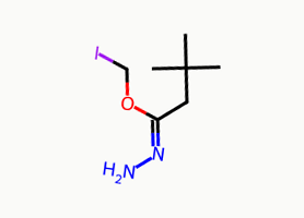 CC(C)(C)C/C(=N/N)OCI